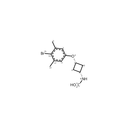 Cc1cc(O[C@H]2C[C@@H](NC(=O)O)C2)cc(C)c1Br